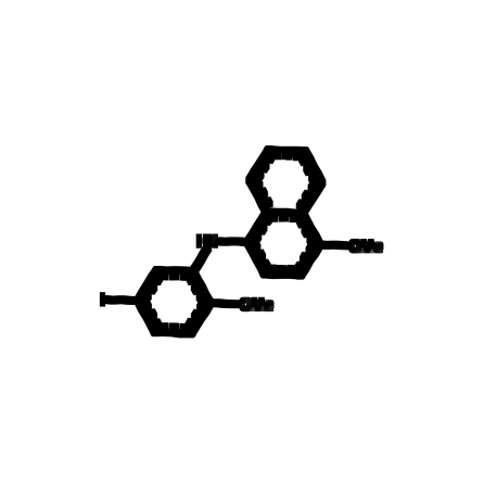 COc1ccc(I)cc1Nc1ccc(OC)c2ccccc12